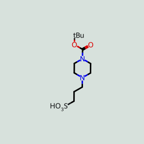 CC(C)(C)OC(=O)N1CCN(CCCS(=O)(=O)O)CC1